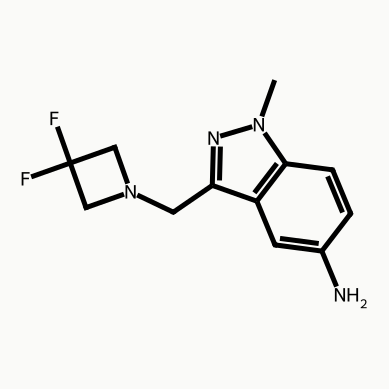 Cn1nc(CN2CC(F)(F)C2)c2cc(N)ccc21